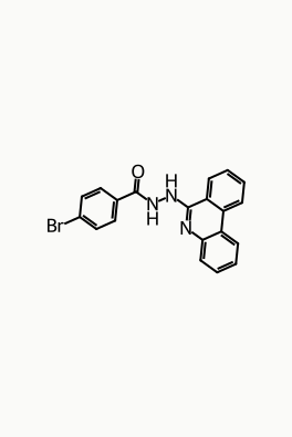 O=C(NNc1nc2ccccc2c2ccccc12)c1ccc(Br)cc1